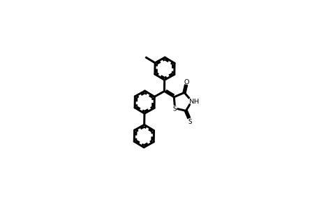 Cc1cccc(/C(=C2/SC(=S)NC2=O)c2cccc(-c3ccccc3)c2)c1